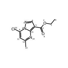 CCOC(=O)c1cnn2c(Cl)cc(C)nc12